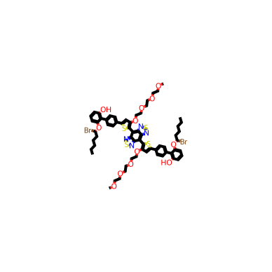 CCCCCC(Br)Oc1cccc(O)c1-c1ccc(-c2cc(OCCOCCOCCOC)c(-c3c4c(c(-c5sc(-c6ccc(-c7c(O)cccc7OC(Br)CCCCC)cc6)cc5OCCOCCOCCOC)c5nsnc35)N=S=N4)s2)cc1